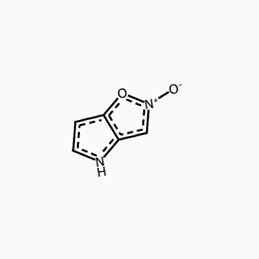 [O-][n+]1cc2[nH]ccc2o1